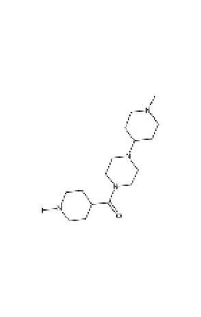 CN1CCC(N2CCN(C(=O)C3CCN(I)CC3)CC2)CC1